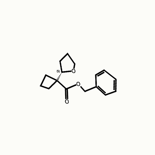 O=C(OCc1ccccc1)C1([C@@H]2CCCO2)CCC1